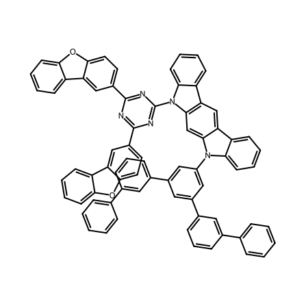 c1ccc(-c2cccc(-c3cc(-c4cccc(-c5ccccc5)c4)cc(-n4c5ccccc5c5cc6c7ccccc7n(-c7nc(-c8ccc9oc%10ccccc%10c9c8)nc(-c8ccc9oc%10ccccc%10c9c8)n7)c6cc54)c3)c2)cc1